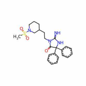 CS(=O)(=O)N1CCCC(CCN2C(=N)NC(c3ccccc3)(c3ccccc3)C2=O)C1